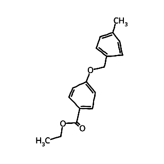 CCOC(=O)c1ccc(OCc2ccc(C)cc2)cc1